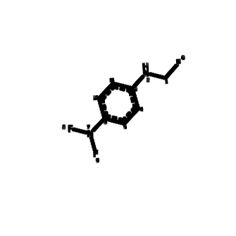 FCNc1ccc(N(F)F)cc1